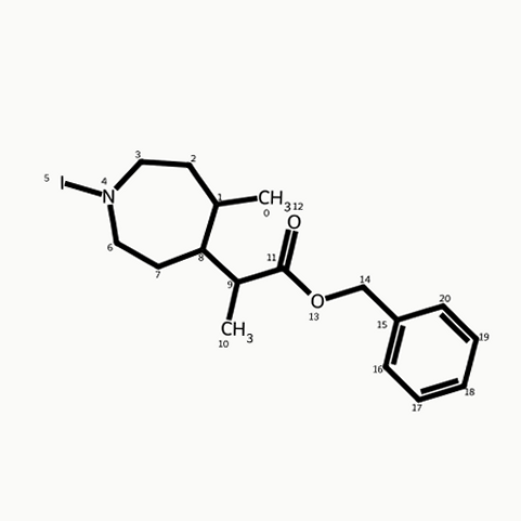 CC1CCN(I)CCC1C(C)C(=O)OCc1ccccc1